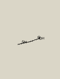 CCCCC=CCC(O)CCCCCCCCCCCCCCCC(=O)O